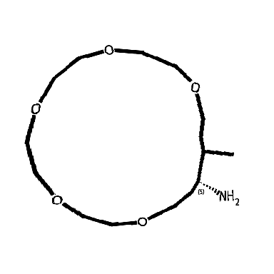 CC1COCCOCCOCCOCCOC[C@H]1N